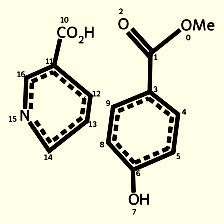 COC(=O)c1ccc(O)cc1.O=C(O)c1cccnc1